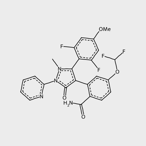 COc1cc(F)c(-c2c(-c3cc(OC(F)F)ccc3C(N)=O)c(=O)n(-c3ccccn3)n2C)c(F)c1